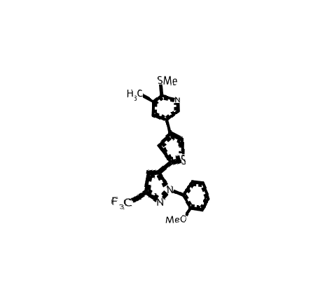 COc1ccccc1-n1nc(C(F)(F)F)cc1-c1cc(-c2cnc(SC)c(C)c2)cs1